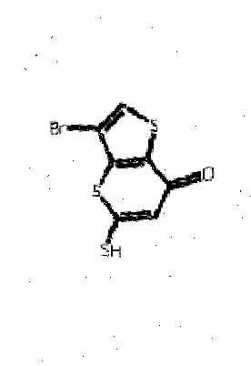 O=c1cc(S)sc2c(Br)csc12